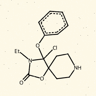 CCN1C(=O)OC2(CCNCC2)C1(Cl)Oc1ccccc1